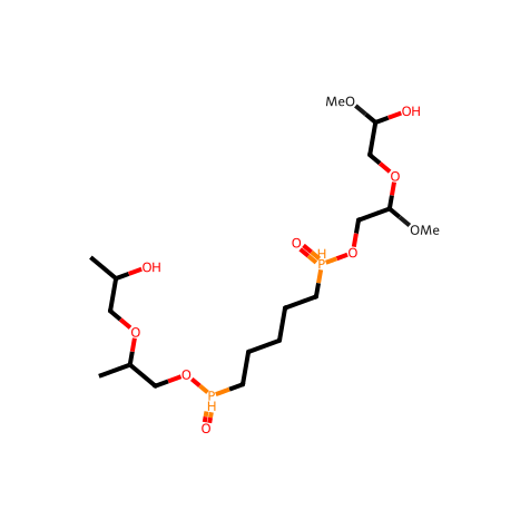 COC(O)COC(CO[PH](=O)CCCCC[PH](=O)OCC(C)OCC(C)O)OC